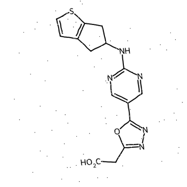 O=C(O)Cc1nnc(-c2cnc(NC3Cc4ccsc4C3)nc2)o1